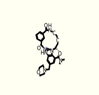 C[C@H]1CCCCNC(=O)c2cccc(c2)C(=O)/N=C2\Nc3cc(CN4CCOCC4)cc(C(=O)N(C)C)c3N21